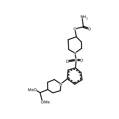 COC(OC)C1CCN(c2cccc(S(=O)(=O)N3CCC(OC(N)=O)CC3)c2)CC1